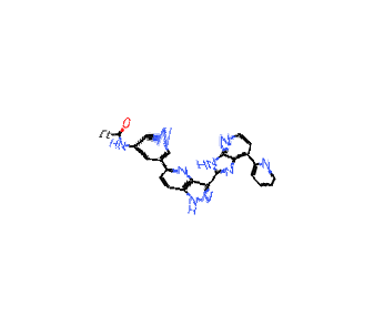 CCC(=O)Nc1cncc(-c2ccc3[nH]nc(-c4nc5c(-c6ccccn6)ccnc5[nH]4)c3n2)c1